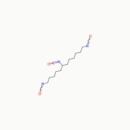 O=C=NCCCCCCC(CCCCCN=C=O)N=C=O